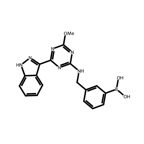 COc1nc(NCc2cccc(B(O)O)c2)nc(-c2n[nH]c3ccccc23)n1